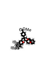 COC(=O)c1ccc(C(C/C=C/c2ccccc2)(Cc2ccc(C(F)(F)P(=O)(OC(C)(C)C)OC(C)(C)C)cc2)C(=O)c2ccc(F)cc2)cc1